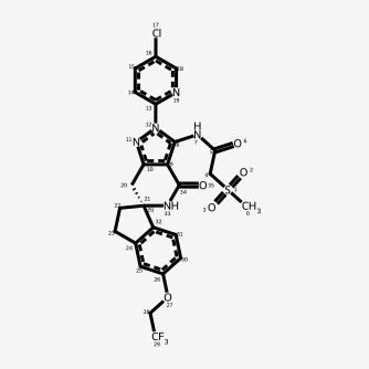 CS(=O)(=O)CC(=O)Nc1c2c(nn1-c1ccc(Cl)cn1)C[C@]1(CCc3cc(OCC(F)(F)F)ccc31)NC2=O